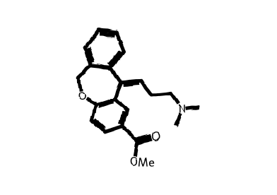 COC(=O)c1ccc2c(c1)/C(=C\CCN(C)C)c1ccccc1CO2